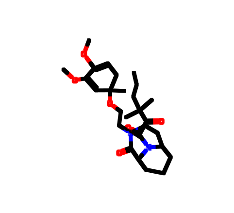 CCCC(C)(C)C(=O)C(=O)N1C2CCCC1C(=O)N(CCOC1(C)C=C(OC)C(OC)=CC1)CC2